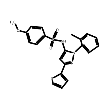 Cc1ccccc1-n1nc(-c2cccs2)cc1NS(=O)(=O)c1ccc(OC(F)(F)F)cc1